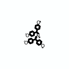 COc1ccc(C(=CN(C)C=C(c2ccc(OC)cc2)c2ccc(OC)cc2)c2ccc(OC)cc2)cc1